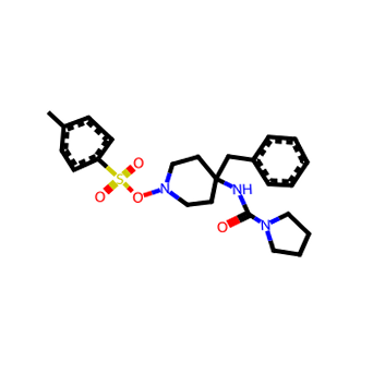 Cc1ccc(S(=O)(=O)ON2CCC(Cc3ccccc3)(NC(=O)N3CCCC3)CC2)cc1